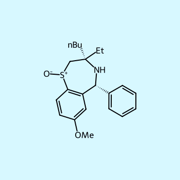 CCCC[C@@]1(CC)C[S+]([O-])c2ccc(OC)cc2[C@@H](c2ccccc2)N1